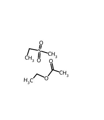 CCOC(C)=O.CCS(C)(=O)=O